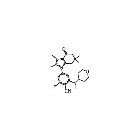 Cc1c2c(n(-c3cc(F)c(C#N)c(NC4CCOCC4)c3)c1C)CC(C)(C)CC2=O